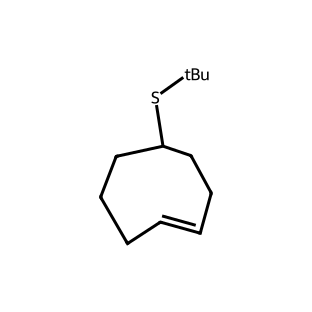 CC(C)(C)SC1CC/C=C/CCC1